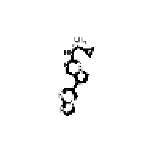 C[C@@H](Nc1ncc2c(-c3cnc4nccn4c3)ccn2n1)C1CC1